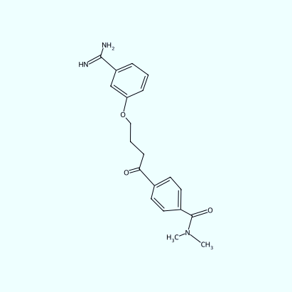 CN(C)C(=O)c1ccc(C(=O)CCCOc2cccc(C(=N)N)c2)cc1